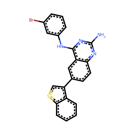 Nc1nc(Nc2cccc(Br)c2)c2cc(-c3csc4ccccc34)ccc2n1